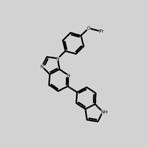 CC(C)Oc1ccc(-n2cnc3ccc(-c4ccc5[nH]ccc5c4)nc32)cc1